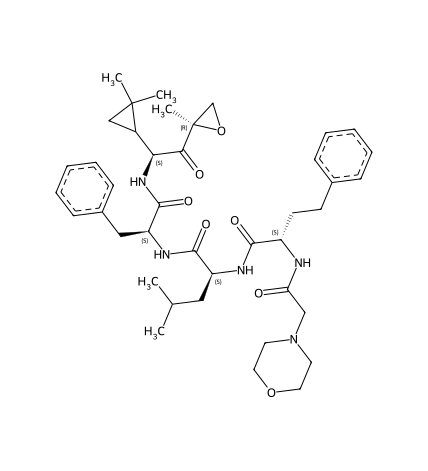 CC(C)C[C@H](NC(=O)[C@H](CCc1ccccc1)NC(=O)CN1CCOCC1)C(=O)N[C@@H](Cc1ccccc1)C(=O)N[C@H](C(=O)[C@@]1(C)CO1)C1CC1(C)C